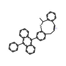 CC1Sc2cc(-c3c4ccccc4c(-c4ccccc4)c4ccccc34)ccc2C/C=C\c2ccccc21